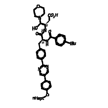 CCCCCCCOc1ccc(-c2cnc(-c3ccc(C[C@H](NC(=O)c4ccc(C(C)(C)C)cc4)C(=O)N[C@@H](CC(=O)O)C(O)N4CCOCC4)cc3)nc2)cc1